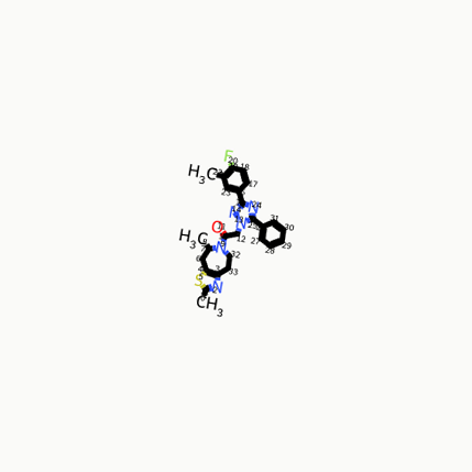 Cc1nc2c(s1)CC(C)N(C(=O)Cn1nc(-c3ccc(F)c(C)c3)nc1-c1ccccc1)CC2